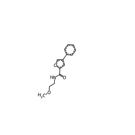 COCCNC(=O)c1cc(-c2ccccc2)co1